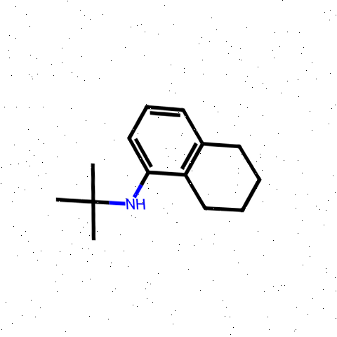 CC(C)(C)Nc1cccc2c1CCCC2